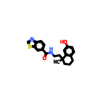 N#CC1(CCNC(=O)c2ccc3ncsc3c2)CCCc2ccc(O)cc21